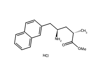 COC(=O)[C@@H](C)C[C@@H](N)Cc1ccc2ccccc2c1.Cl